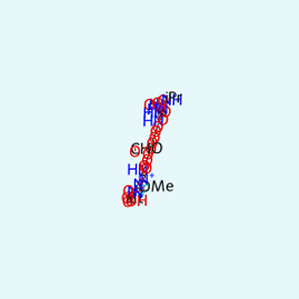 CC[C@@]1(O)C(=O)OCc2c1cc1n(c2=O)Cc2c-1nc1cc(F)c(OC)cc1c2CN1CCC([N+](C)(C)Cc2ccc(NC(=O)OCCOCCOCCOCCOCCOCCOCCOCCNC(=O)CC[C@H](NC(=O)CCCN3C(=O)C=CC3=O)C(=O)NCCCC(=O)NC(C)C)cc2)CC1.O=C[O-]